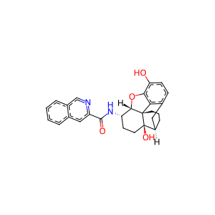 O=C(N[C@H]1CC[C@@]2(O)[C@@H]3CCC[C@@]24c2c(ccc(O)c2O[C@@H]14)C3)c1cc2ccccc2cn1